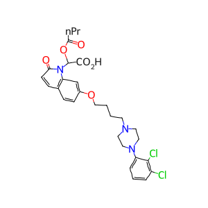 CCCC(=O)OC(C(=O)O)n1c(=O)ccc2ccc(OCCCCN3CCN(c4cccc(Cl)c4Cl)CC3)cc21